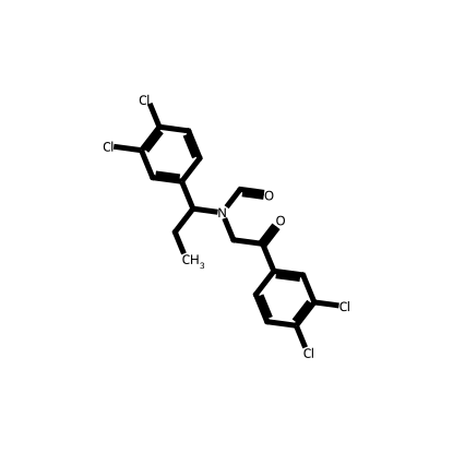 CCC(c1ccc(Cl)c(Cl)c1)N(C=O)CC(=O)c1ccc(Cl)c(Cl)c1